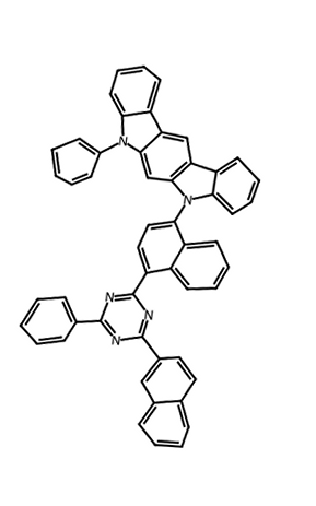 c1ccc(-c2nc(-c3ccc4ccccc4c3)nc(-c3ccc(-n4c5ccccc5c5cc6c7ccccc7n(-c7ccccc7)c6cc54)c4ccccc34)n2)cc1